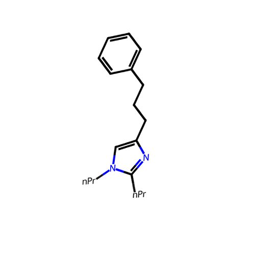 CCCc1nc(CCCc2ccccc2)cn1CCC